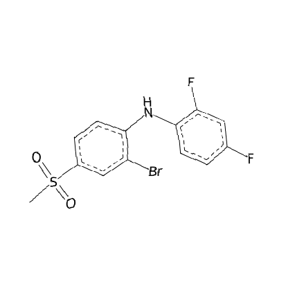 CS(=O)(=O)c1ccc(Nc2ccc(F)cc2F)c(Br)c1